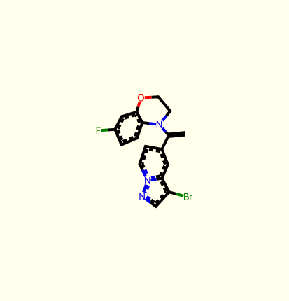 C=C(c1ccn2ncc(Br)c2c1)N1CCOc2cc(F)ccc21